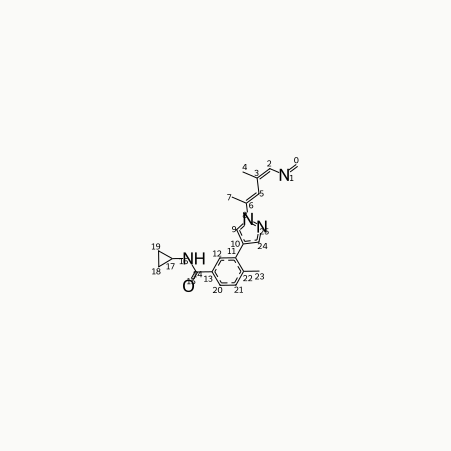 C=N/C=C(C)\C=C(/C)n1cc(-c2cc(C(=O)NC3CC3)ccc2C)cn1